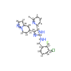 Cc1cccc(-c2[nH]c(NCc3cccc(Cl)c3F)nc2-c2ccn3nccc3c2)n1